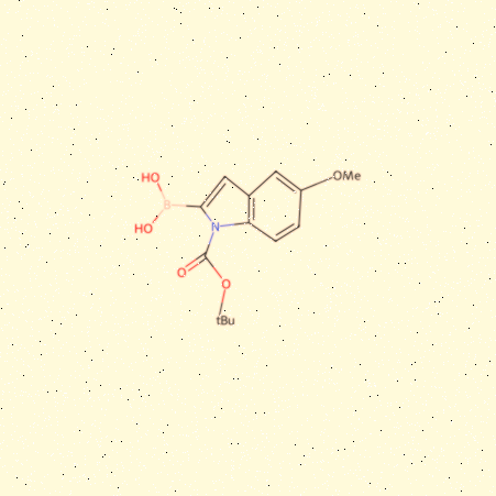 COc1ccc2c(c1)cc(B(O)O)n2C(=O)OC(C)(C)C